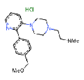 CNCCN1CCN(c2cccnc2-c2ccc(COC)cc2)CC1.Cl